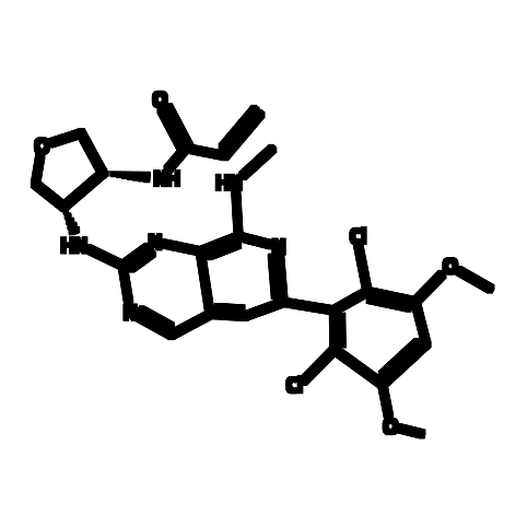 C=CC(=O)N[C@H]1COC[C@H]1Nc1ncc2cc(-c3c(Cl)c(OC)cc(OC)c3Cl)nc(NC)c2n1